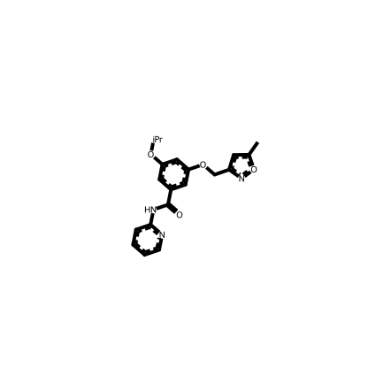 Cc1cc(COc2cc(OC(C)C)cc(C(=O)Nc3ccccn3)c2)no1